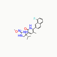 CO/N=C1\NC[C@@](c2cc(C)c(-c3ccc4cccc(F)c4c3)[nH]c2=O)(C(C)C)N1